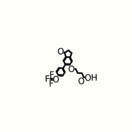 O=C(O)CCCOc1cc2c(cc1-c1ccc(OC(F)(F)F)cc1)C(=O)CC2